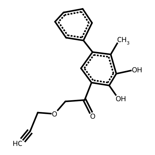 C#CCOCC(=O)c1cc(-c2ccccc2)c(C)c(O)c1O